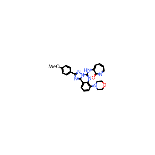 COc1ccc(-c2nc3c4cccc(N5CCOCC5)c4nc(Nc4ccccnc4=O)n3n2)cc1